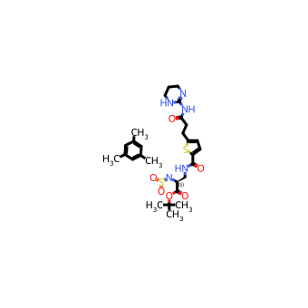 CC(C)(C)OC(=O)[C@H](CNC(=O)c1ccc(CCC(=O)NC2=NCCCN2)s1)N=S(=O)=O.Cc1cc(C)cc(C)c1